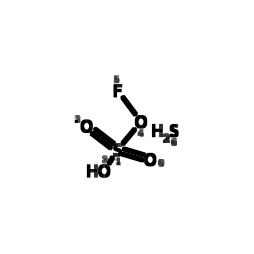 O=S(=O)(O)OF.S